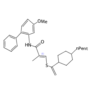 C=C(S/C=C(\C)C(=O)Nc1cc(OC)ccc1-c1ccccc1)C1CCC(CCCCC)CC1